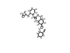 Fc1ccccc1COc1ccc2c(c1)CN(CC1C=CC=C[C@@H]1CC1CCO1)CC2